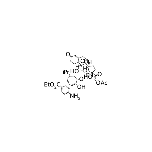 CC(=O)OCC(=O)[C@@]1(O)CC[C@H]2[C@@H]3CCC4=CC(=O)CC[C@]4(C)[C@H]3[C@@H](O)C[C@@]21C.CC(C)c1cccc(O)c(=O)c1.CCOC(=O)c1ccc(N)cc1